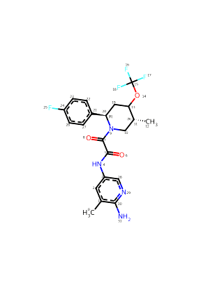 Cc1cc(NC(=O)C(=O)N2C[C@@H](C)C(OC(F)(F)F)C[C@@H]2c2ccc(F)cc2)cnc1N